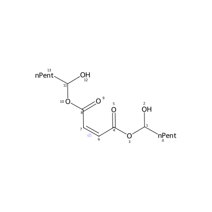 CCCCCC(O)OC(=O)/C=C\C(=O)OC(O)CCCCC